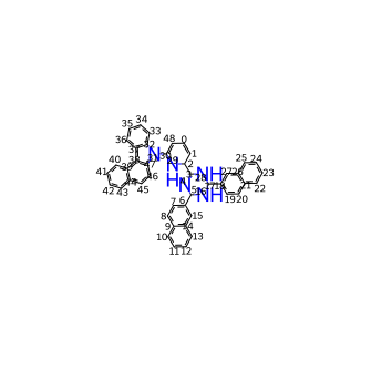 C1=CC(C2=NC(c3ccc4ccccc4c3)NC(c3ccc4ccccc4c3)N2)NC(n2c3ccccc3c3c4ccccc4ccc32)=C1